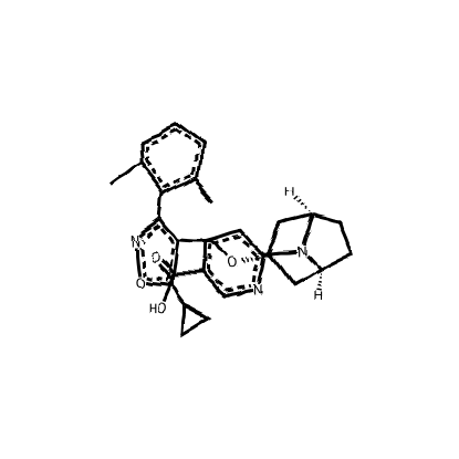 Cc1cccc(C)c1-c1noc(C2CC2)c1CO[C@@H]1C[C@H]2CC[C@@H](C1)N2c1ccc(C(=O)O)cn1